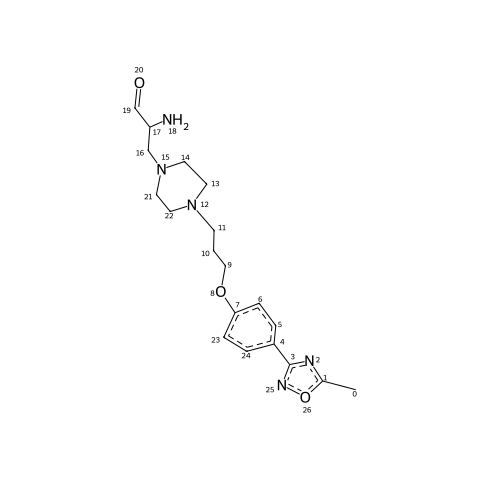 Cc1nc(-c2ccc(OCCCN3CCN(CC(N)C=O)CC3)cc2)no1